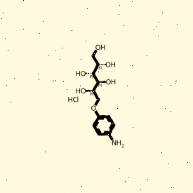 Cl.Nc1ccc(OC[C@@H](O)[C@H](O)[C@H](O)[C@@H](O)CO)cc1